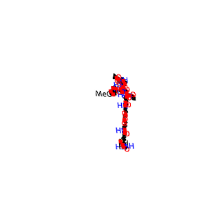 C=CC(=O)NC[C@H](NC(=O)CCCC(=O)NCCCOCCOCCOCCCNC(=O)CCCC[C@@H]1SC[C@@H]2NC(=O)N[C@@H]21)C(=O)N1C[C@H](Oc2nccc3cc(OC)ccc23)C[C@H]1C(=O)N[C@]1(C(=O)NS(=O)(=O)C2CC2)CCC1C=C